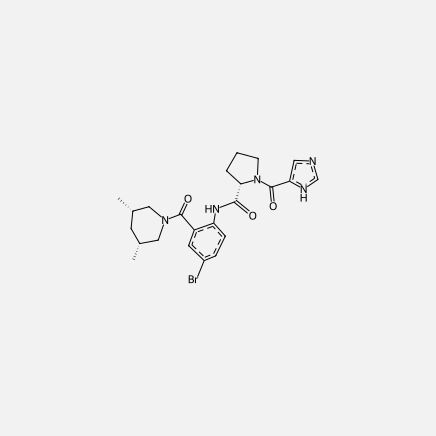 C[C@@H]1C[C@H](C)CN(C(=O)c2cc(Br)ccc2NC(=O)[C@@H]2CCCN2C(=O)c2cnc[nH]2)C1